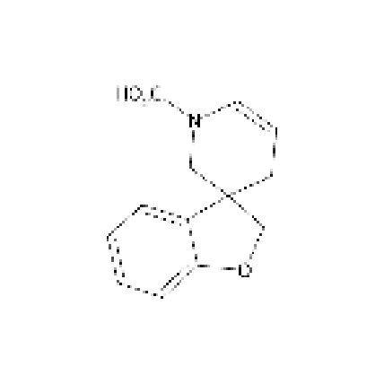 O=C(O)N1C=CCC2(COc3ccccc32)C1